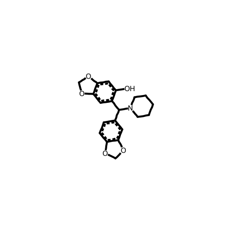 Oc1cc2c(cc1C(c1ccc3c(c1)OCO3)N1CCCCC1)OCO2